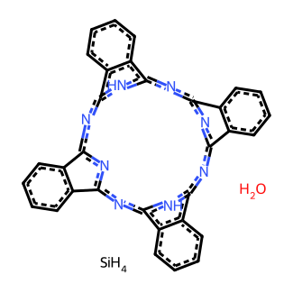 O.[SiH4].c1ccc2c(c1)-c1nc-2nc2[nH]c(nc3nc(nc4[nH]c(n1)c1ccccc41)-c1ccccc1-3)c1ccccc21